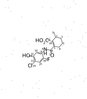 CC1CCCC(C(=O)Nc2cc(O)c(Cl)cc2F)=C1C(=O)O